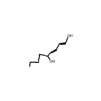 CCCCC(O)C=CC=CO